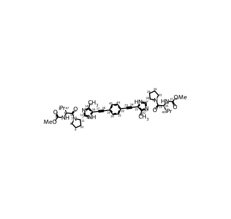 COC(=O)N[C@H](C(=O)N1CCC[C@H]1c1nc(C)c(C#Cc2ccc(C#Cc3[nH]c([C@@H]4CCCN4C(=O)[C@@H](NC(=O)OC)C(C)C)nc3C)cc2)[nH]1)C(C)C